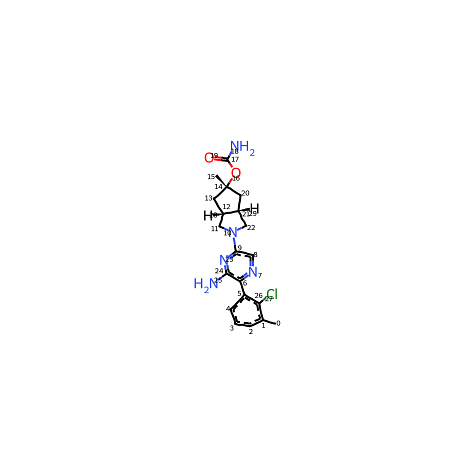 Cc1cccc(-c2ncc(N3C[C@@H]4C[C@](C)(OC(N)=O)C[C@@H]4C3)nc2N)c1Cl